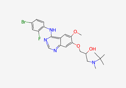 COc1cc2c(Nc3ccc(Br)cc3F)ncnc2cc1OCC(O)CN(C)C(C)(C)C